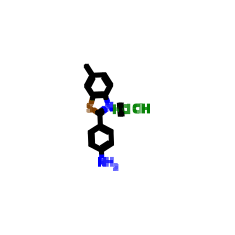 C=C.Cc1ccc2nc(-c3ccc(N)cc3)sc2c1.Cl.Cl